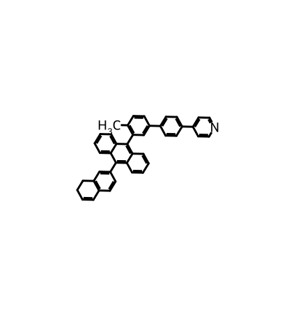 Cc1ccc(-c2ccc(-c3ccncc3)cc2)cc1-c1c2ccccc2c(-c2ccc3c(c2)CCC=C3)c2ccccc12